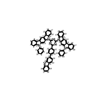 c1ccc(-n2c3ccccc3c3cc4c5ccccc5n(-c5nc(-c6ccc(-c7ccc8c(c7)sc7ccccc78)cc6)nc(-n6c7ccccc7c7cc8c9ccccc9n(-c9ccccc9)c8cc76)n5)c4cc32)cc1